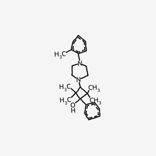 Cc1ccccc1N1CCN(C2C(C)(C)C(O)(c3ccccc3)C2(C)C)CC1